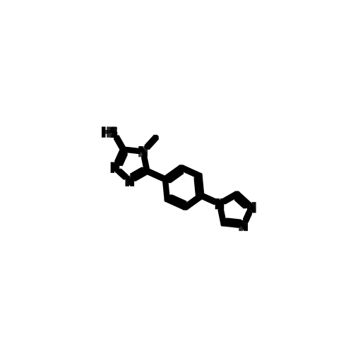 Cn1c(S)nnc1-c1ccc(-n2cnnc2)cc1